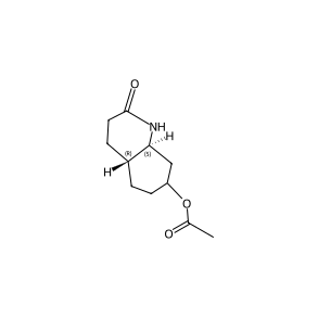 CC(=O)OC1CC[C@@H]2CCC(=O)N[C@H]2C1